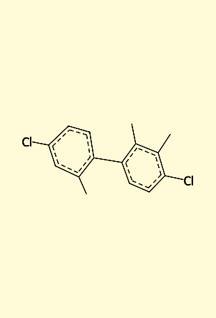 Cc1cc(Cl)ccc1-c1ccc(Cl)c(C)c1C